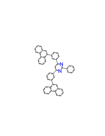 c1ccc(-c2nc(-c3cccc(-c4cc5ccccc5c5ccccc45)c3)cc(-c3cccc(-c4cc5ccccc5c5ccccc45)c3)n2)cc1